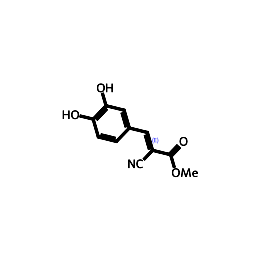 COC(=O)/C(C#N)=C/c1ccc(O)c(O)c1